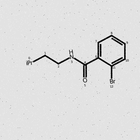 CC(C)CCNC(=O)c1ccccc1Br